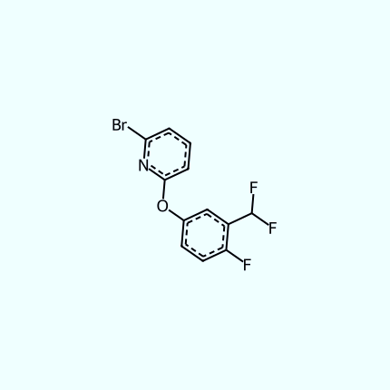 Fc1ccc(Oc2cccc(Br)n2)cc1C(F)F